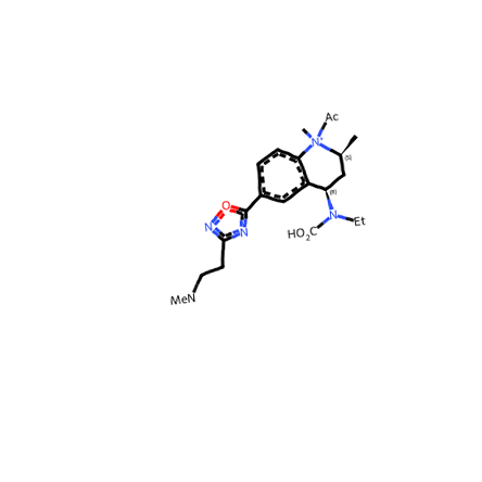 CCN(C(=O)O)[C@@H]1C[C@H](C)[N+](C)(C(C)=O)c2ccc(-c3nc(CCNC)no3)cc21